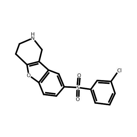 O=S(=O)(c1cccc(Cl)c1)c1ccc2oc3c(c2c1)CNCC3